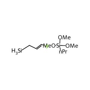 CCC[Si](OC)(OC)OC.FC=CC[SiH3]